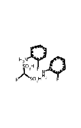 Nc1ccccc1F.Nc1ccccc1F.O=S(=O)(O)C(F)S(=O)(=O)O